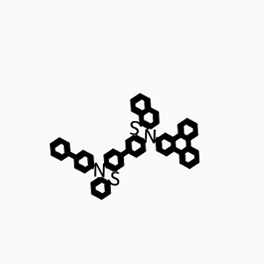 c1ccc(-c2ccc(N3c4ccccc4Sc4cc(-c5ccc6c(c5)Sc5c(ccc7ccccc57)N6c5ccc6c7ccccc7c7ccccc7c6c5)ccc43)cc2)cc1